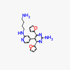 NCCCCNc1cc(-c2c(-c3ccco3)nc(N)nc2-c2ccco2)ccn1